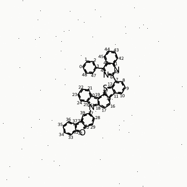 c1ccc(-c2nc(-c3cccc4c3sc3c4ccc4c3c3ccccc3n4-c3ccc4oc5ccccc5c4c3)nc3ccccc23)cc1